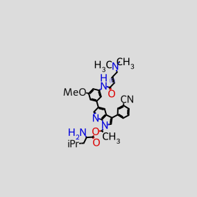 COc1cc(NC(=O)/C=C/CN(C)C)cc(-c2cnc3c(c2)c(-c2cccc(C#N)c2)cn3C(C)OC(=O)C(N)CC(C)C)c1